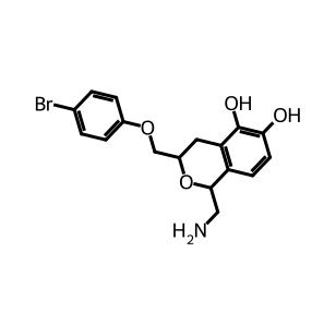 NCC1OC(COc2ccc(Br)cc2)Cc2c1ccc(O)c2O